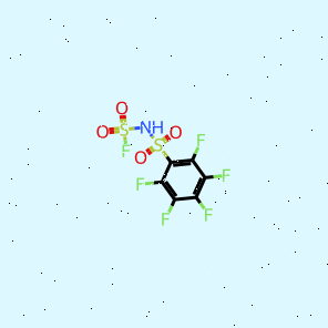 O=S(=O)(F)NS(=O)(=O)c1c(F)c(F)c(F)c(F)c1F